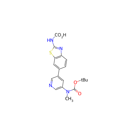 CN(C(=O)OC(C)(C)C)c1cncc(-c2ccc3nc(NC(=O)O)sc3c2)c1